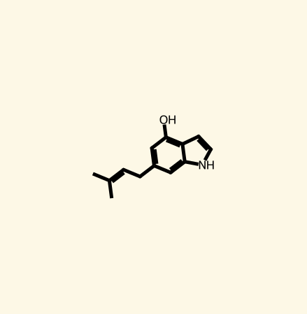 CC(C)=CCc1cc(O)c2cc[nH]c2c1